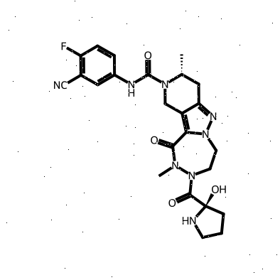 C[C@@H]1Cc2nn3c(c2CN1C(=O)Nc1ccc(F)c(C#N)c1)C(=O)N(C)N(C(=O)[C@]1(O)CCCN1)CC3